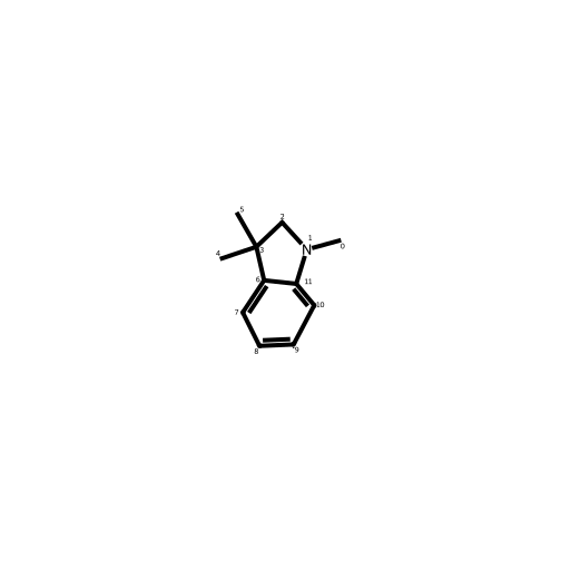 CN1CC(C)(C)c2cc[c]cc21